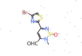 CN1C(C=O)=CC(c2nc(Br)cs2)=N[S+]1[O-]